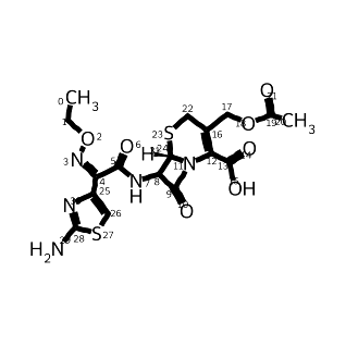 CCO/N=C(\C(=O)NC1C(=O)N2C(C(=O)O)=C(COC(C)=O)CS[C@@H]12)c1csc(N)n1